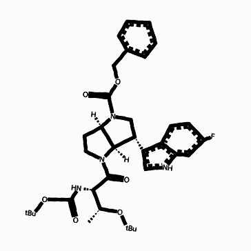 C[C@@H](OC(C)(C)C)[C@H](NC(=O)OC(C)(C)C)C(=O)N1CC[C@@H]2[C@H]1[C@@H](c1c[nH]c3cc(F)ccc13)CN2C(=O)OCc1ccccc1